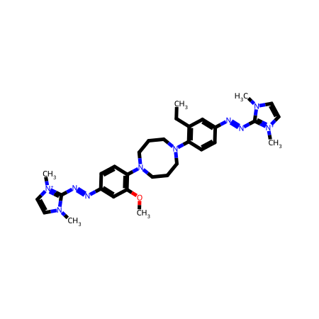 CCc1cc(N=Nc2n(C)cc[n+]2C)ccc1N1CCCN(c2ccc(N=Nc3n(C)cc[n+]3C)cc2OC)CCC1